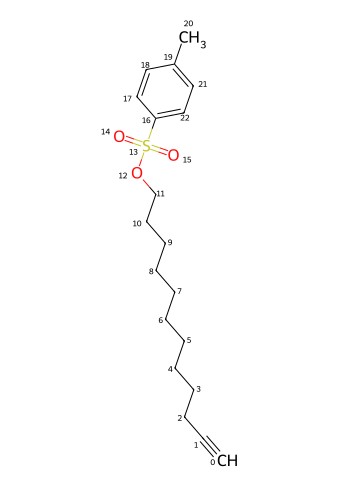 C#CCCCCCCCCCCOS(=O)(=O)c1ccc(C)cc1